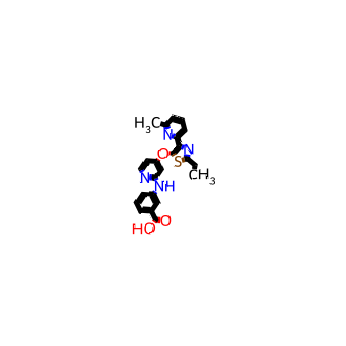 CCc1nc(-c2cccc(C)n2)c(Oc2ccnc(Nc3cccc(C(=O)O)c3)c2)s1